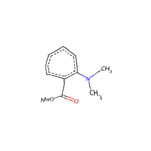 COC(=O)c1c[c]ccc1N(C)C